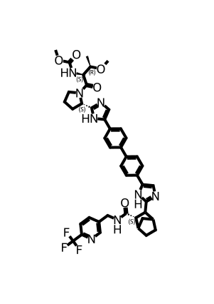 COC(=O)N[C@H](C(=O)N1CCC[C@H]1c1ncc(-c2ccc(-c3ccc(-c4cnc(C5C6CCC(C6)[C@@H]5C(=O)NCc5ccc(C(F)(F)F)nc5)[nH]4)cc3)cc2)[nH]1)[C@@H](C)OC